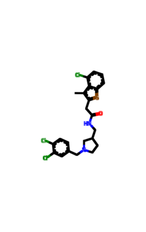 Cc1c(CC(=O)NCC2CCN(Cc3ccc(Cl)c(Cl)c3)C2)sc2cccc(Cl)c12